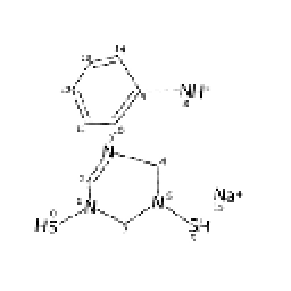 SN1C=NCN(S)C1.[NH-]c1ccccc1.[Na+]